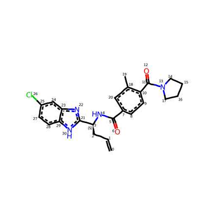 C=CC[C@H](NC(=O)c1ccc(C(=O)N2CCCC2)c(C)c1)c1nc2cc(Cl)ccc2[nH]1